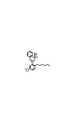 CCCCCCc1ccc(OC)cc1N(Cc1ccccc1)CC(C)(C)Br